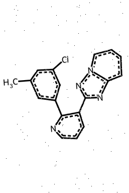 Cc1cc(Cl)cc(-c2ncccc2-c2nc3ccccn3n2)c1